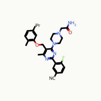 Cc1ccc(C(C)C)cc1OCc1c(C)nc(-c2cc(C#N)ccc2F)nc1N1CCN(CC(N)=O)CC1